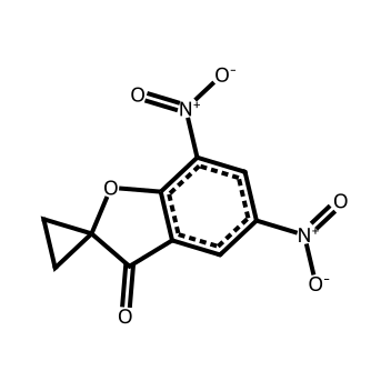 O=C1c2cc([N+](=O)[O-])cc([N+](=O)[O-])c2OC12CC2